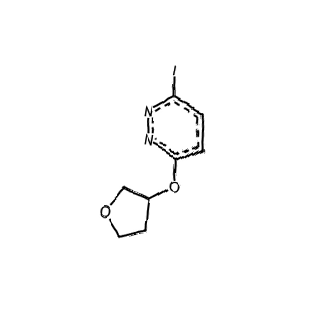 Ic1ccc(OC2CCOC2)nn1